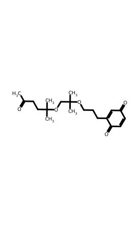 CC(=O)CCC(C)(C)OCC(C)(C)OCCCC1=CC(=O)C=CC1=O